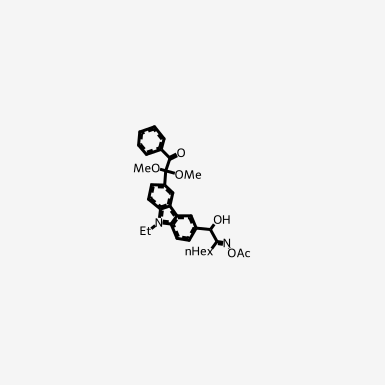 CCCCCC/C(=N\OC(C)=O)C(O)c1ccc2c(c1)c1cc(C(OC)(OC)C(=O)c3ccccc3)ccc1n2CC